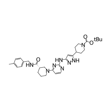 Cc1ccc(CNC(=O)[C@H]2CCCN(c3ccnc(Nc4cc(C5CCN(C(=O)OC(C)(C)C)CC5)[nH]n4)n3)C2)cc1